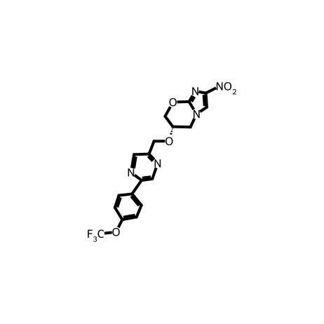 O=[N+]([O-])c1cn2c(n1)OC[C@@H](OCc1cnc(-c3ccc(OC(F)(F)F)cc3)cn1)C2